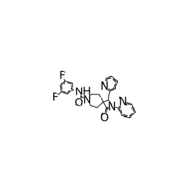 O=C(Nc1cc(F)cc(F)c1)N1CCC2(CC1)C(=O)N(c1ccccn1)C2c1ccccn1